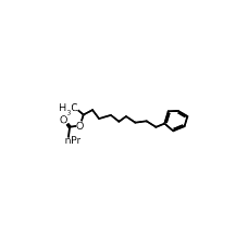 CCCC(=O)OC(C)CCCCCCCCc1ccccc1